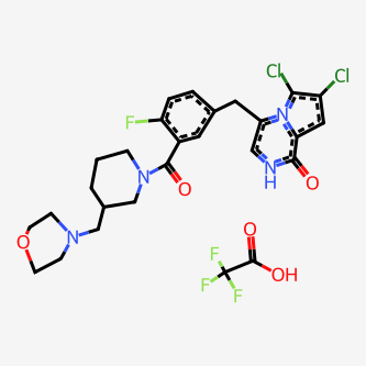 O=C(O)C(F)(F)F.O=C(c1cc(Cc2c[nH]c(=O)c3cc(Cl)c(Cl)n23)ccc1F)N1CCCC(CN2CCOCC2)C1